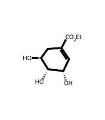 CCOC(=O)C1=C[C@H](O)[C@H](O)[C@@H](O)C1